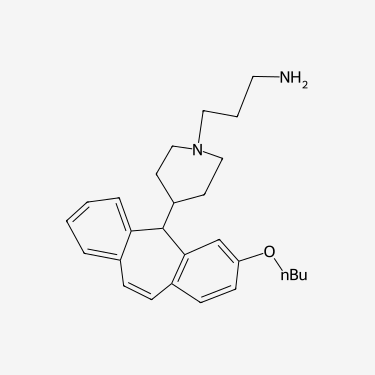 CCCCOc1ccc2c(c1)C(C1CCN(CCCN)CC1)c1ccccc1C=C2